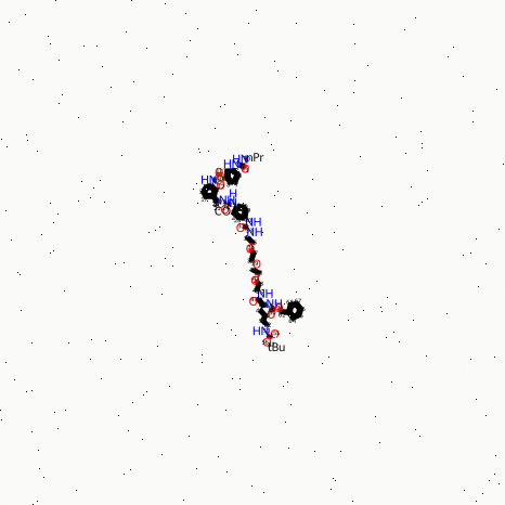 CCCNC(=O)Nc1cccc(S(=O)(=O)Nc2cccc([C@@H](CC(=O)O)NC(=O)Nc3ccc(NC(=O)NCCOCCOCCOCCNC(=O)[C@H](CCCCNC(=O)OC(C)(C)C)NC(=O)OCc4ccccc4)cc3)c2)c1